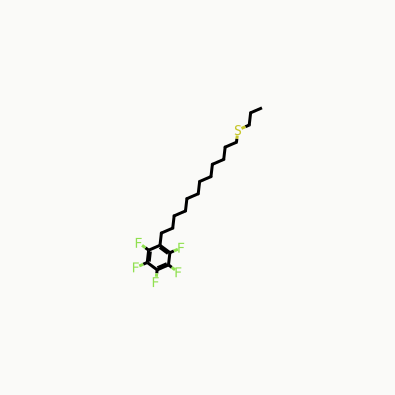 CCCSCCCCCCCCCCCCc1c(F)c(F)c(F)c(F)c1F